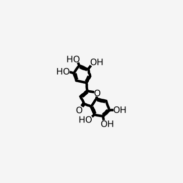 O=c1cc(-c2cc(O)c(O)c(O)c2)oc2cc(O)c(O)c(O)c12